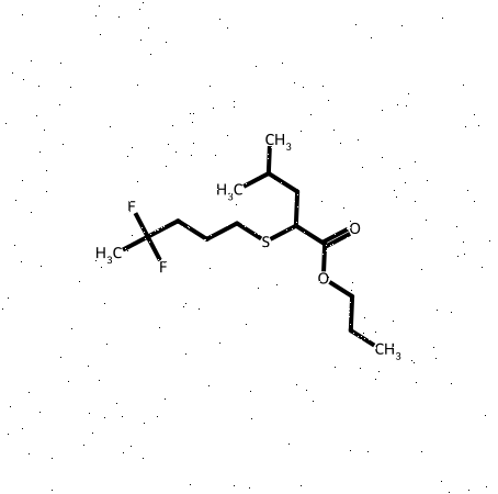 CCCOC(=O)C(CC(C)C)SCCCC(C)(F)F